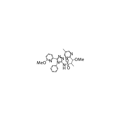 COc1cccc(-c2nnc(NS(=O)(=O)C(C)C(OC)c3ncc(C)cn3)n2-c2ccccc2)n1